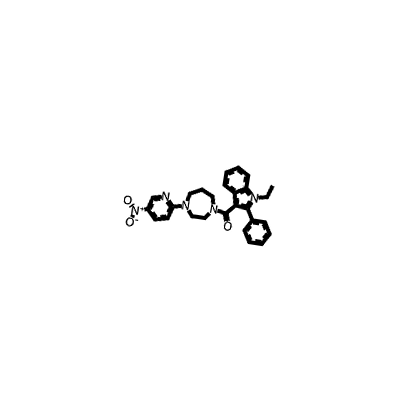 CCn1c(-c2ccccc2)c(C(=O)N2CCCN(c3ccc([N+](=O)[O-])cn3)CC2)c2ccccc21